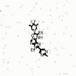 CCC(Nc1ncnc2c1nc(-c1cnc(C)nc1)n2CC)C(=O)N1CC(C)C(F)(F)C(C)C1